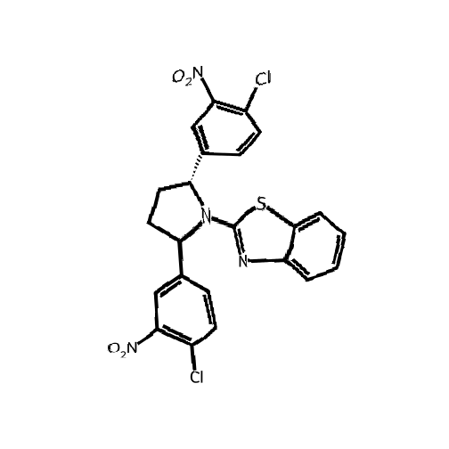 O=[N+]([O-])c1cc(C2CC[C@H](c3ccc(Cl)c([N+](=O)[O-])c3)N2c2nc3ccccc3s2)ccc1Cl